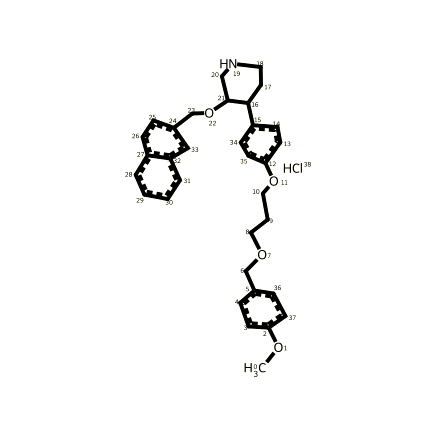 COc1ccc(COCCCOc2ccc(C3CCNCC3OCc3ccc4ccccc4c3)cc2)cc1.Cl